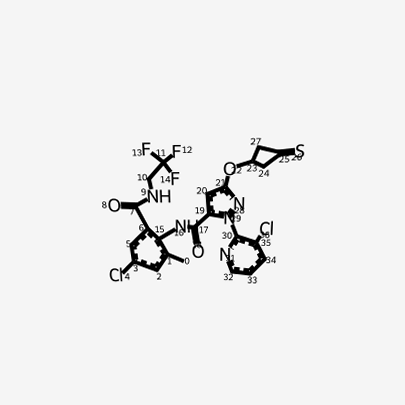 Cc1cc(Cl)cc(C(=O)NCC(F)(F)F)c1NC(=O)c1cc(OC2CC(=S)C2)nn1-c1ncccc1Cl